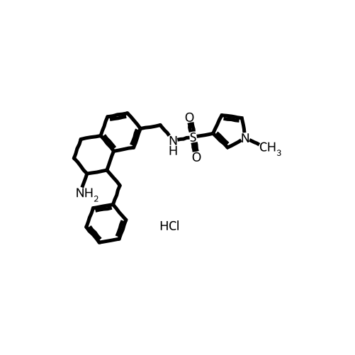 Cl.Cn1ccc(S(=O)(=O)NCc2ccc3c(c2)C(Cc2ccccc2)C(N)CC3)c1